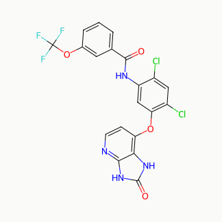 O=C(Nc1cc(Oc2ccnc3[nH]c(=O)[nH]c23)c(Cl)cc1Cl)c1cccc(OC(F)(F)F)c1